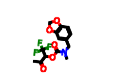 CC(=O)C(OC(=O)N(C)Cc1ccc2c(c1)OCO2)C(F)(F)F